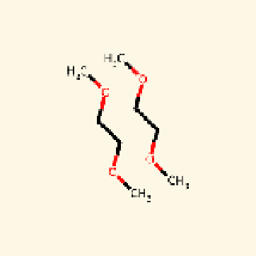 COCCOC.COCCOC